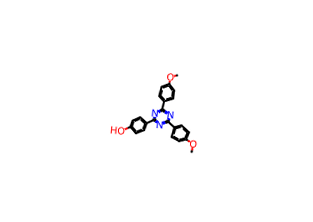 COc1ccc(-c2nc(-c3ccc(O)cc3)nc(-c3ccc(OC)cc3)n2)cc1